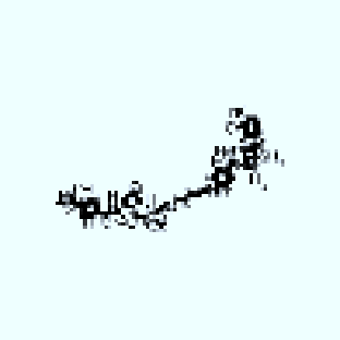 Cc1ncsc1-c1ccc([C@H](C)NC(=O)[C@@H]2C[C@@H](O)CN2C(=O)C(NC(=O)COCCCCCNc2ccc(C(=O)N[C@H]3C(C)(C)[C@H](Oc4ccc(C#N)c(Cl)c4)C3(C)C)c(F)c2)C(C)(C)C)cc1